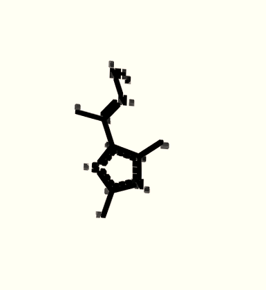 CC(=NN)c1sc(C)nc1C